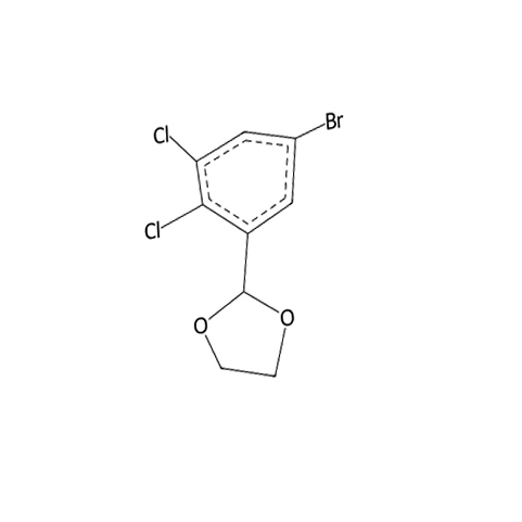 Clc1cc(Br)cc(C2OCCO2)c1Cl